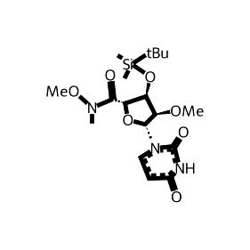 CO[C@@H]1[C@H](O[Si](C)(C)C(C)(C)C)[C@@H](C(=O)N(C)OC)O[C@H]1n1ccc(=O)[nH]c1=O